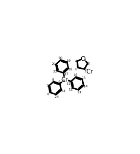 C1CCOC1.[Cr].c1cc[c]([Cr]([c]2ccccc2)[c]2ccccc2)cc1